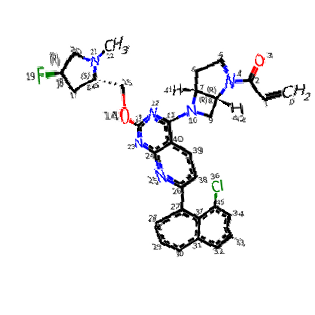 C=CC(=O)N1CC[C@@H]2[C@H]1CN2c1nc(OC[C@@H]2C[C@@H](F)CN2C)nc2nc(-c3cccc4cccc(Cl)c34)ccc12